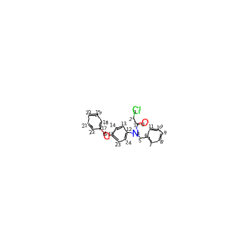 O=C(CCl)N(Cc1ccccc1)c1ccc(Oc2ccccc2)cc1